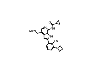 CNCc1cnc(NC(=O)C2CC2)c2[nH]c(-c3cccc(N4CCC4)c3C#N)cc12